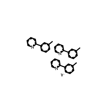 Cc1cccc(-c2ccccn2)c1.Cc1cccc(-c2ccccn2)c1.Cc1cccc(-c2ccccn2)c1.[Ir]